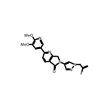 C=C(F)Cn1cc(N2Cc3nc(-c4cnc(OC)c(OC)c4)ccc3C2=O)cn1